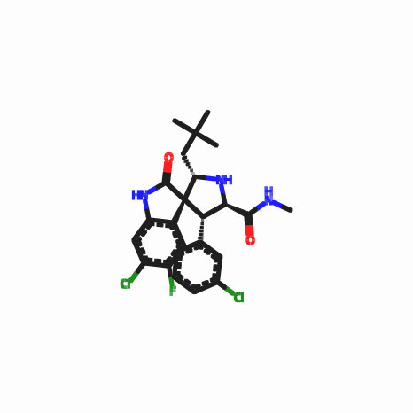 CNC(=O)[C@@H]1N[C@@H](CC(C)(C)C)[C@@]2(C(=O)Nc3cc(Cl)c(F)cc32)[C@H]1c1cccc(Cl)c1